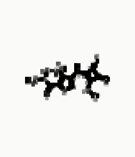 CCOc1c(Nc2csc(C(=O)N(C)C)c2O)c(=O)c1=O